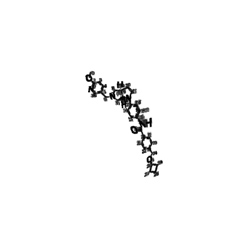 COc1ccc(CN2C[C@H]3CCN(c4ccc(NC(=O)c5ccc(COC6CCC6)cc5)cc4)[C@H]3C2)cn1